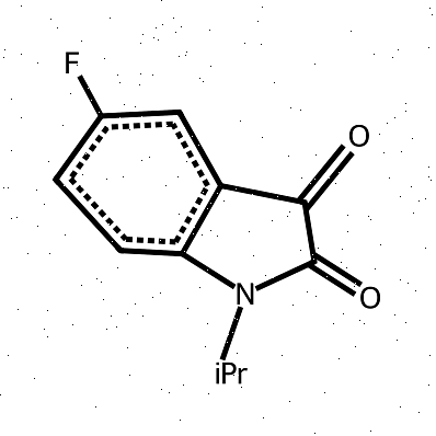 CC(C)N1C(=O)C(=O)c2cc(F)ccc21